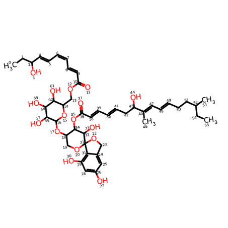 CCC(O)/C=C/C=C\C=C\C(=O)OCC1OC(OC2COC3(OCc4cc(O)cc(O)c43)C(O)C2OC(=O)/C=C/C=C/CC(O)/C(C)=C/C=C/CCC(C)CC)C(O)C(O)C1O